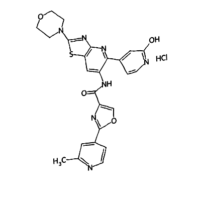 Cc1cc(-c2nc(C(=O)Nc3cc4sc(N5CCOCC5)nc4nc3-c3ccnc(O)c3)co2)ccn1.Cl